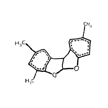 Cc1ccc2c(c1)C1c3cc(C)cc(C)c3OC1O2